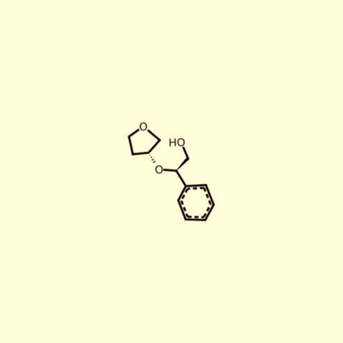 OC[C@H](O[C@@H]1CCOC1)c1ccccc1